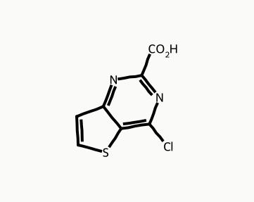 O=C(O)c1nc(Cl)c2sccc2n1